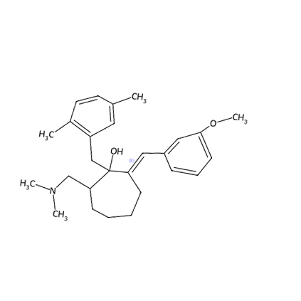 COc1cccc(/C=C2\CCCCC(CN(C)C)C2(O)Cc2cc(C)ccc2C)c1